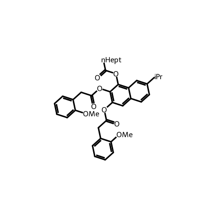 CCCCCCCC(=O)Oc1c(OC(=O)Cc2ccccc2OC)c(OC(=O)Cc2ccccc2OC)cc2ccc(C(C)C)cc12